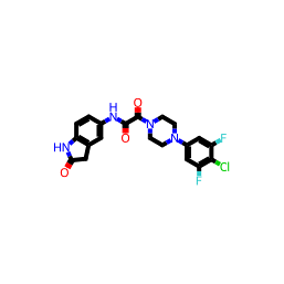 O=C1Cc2cc(NC(=O)C(=O)N3CCN(c4cc(F)c(Cl)c(F)c4)CC3)ccc2N1